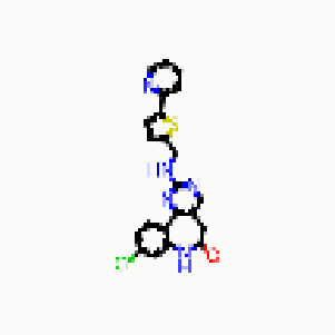 O=C1Cc2cnc(NCc3ccc(-c4ccccn4)s3)nc2-c2ccc(Cl)cc2N1